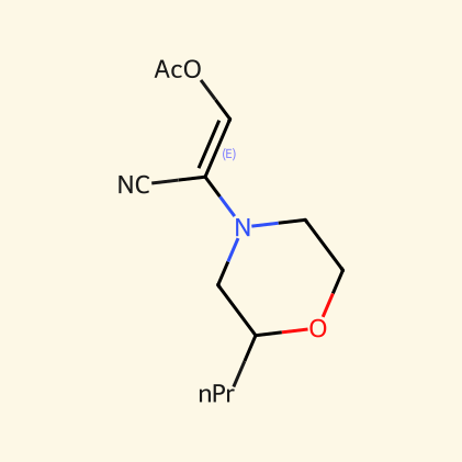 CCCC1CN(/C(C#N)=C/OC(C)=O)CCO1